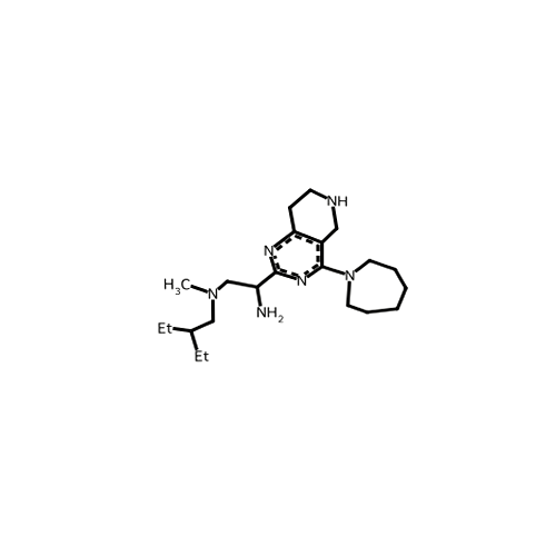 CCC(CC)CN(C)CC(N)c1nc2c(c(N3CCCCCC3)n1)CNCC2